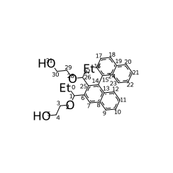 CCC(OCCO)c1cc2ccccc2c(-c2cccc3ccccc23)c1C(CC)OCCO